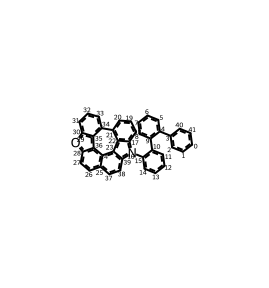 c1ccc(-c2ccccc2-c2ccccc2-n2c3cccc4c3c3c5c(ccc6oc7cccc-4c7c65)ccc32)cc1